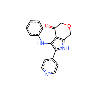 O=C1COCc2[nH]c(-c3ccncc3)c(Nc3ccccc3)c21